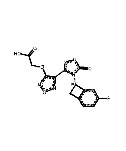 O=C(O)COc1nonc1-c1noc(=O)n1[C@H]1Cc2ccc(F)cc21